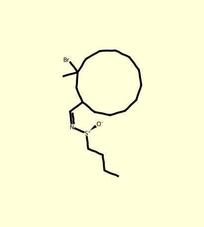 CCCC[S@+]([O-])/N=C\C1CCCCCCCCCCC(C)(Br)C1